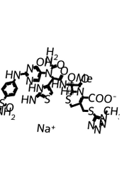 CO[C@@]1(NC(=O)C(c2csc(=N)[nH]2)N(C(N)=O)c2cnc(Nc3ccc(S(N)(=O)=O)cc3)nc2O)C(=O)N2C(C(=O)[O-])=C(CSc3nnnn3C)CS[C@H]21.[Na+]